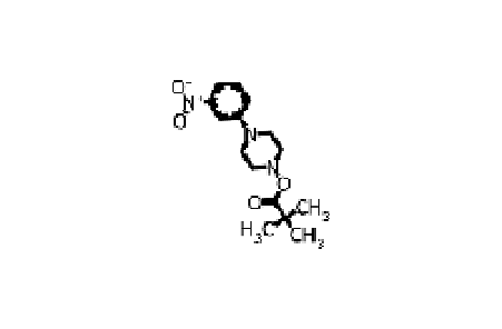 CC(C)(C)C(=O)ON1CCN(c2cccc([N+](=O)[O-])c2)CC1